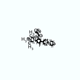 C[C@@H]1CN(c2cc(F)c(-c3cnc(N4CCOCC4)nc3)cc2NC(=O)c2cocn2)C[C@H](C)N1C